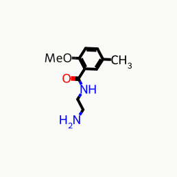 COc1ccc(C)cc1C(=O)NCCN